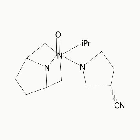 CC(C)N1CC2CCC(C1)N2C(=O)N1CC[C@H](C#N)C1